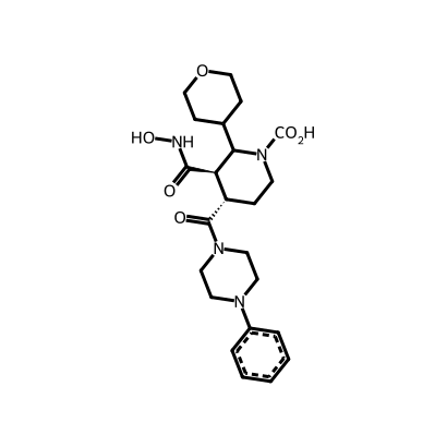 O=C(NO)[C@H]1C(C2CCOCC2)N(C(=O)O)CC[C@@H]1C(=O)N1CCN(c2ccccc2)CC1